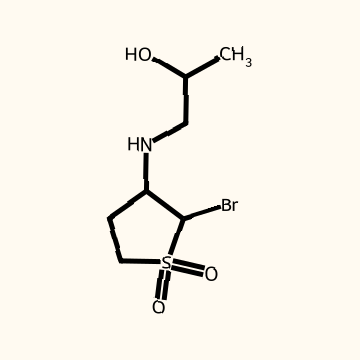 CC(O)CNC1CCS(=O)(=O)C1Br